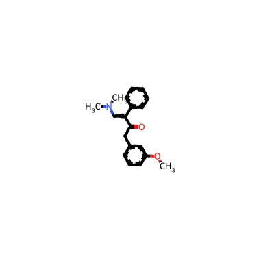 COc1cccc(CC(=O)C(=CN(C)C)c2ccccc2)c1